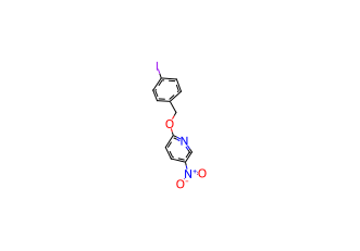 O=[N+]([O-])c1ccc(OCc2ccc(I)cc2)nc1